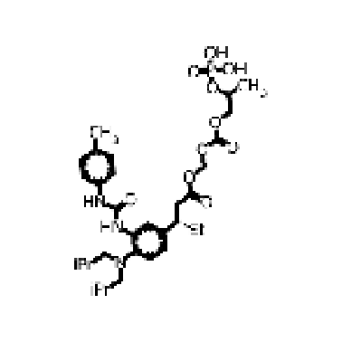 CC[C@@H](CC(=O)OCOC(=O)OCC(C)OP(=O)(O)O)c1ccc(N(CC(C)C)CC(C)C)c(NC(=O)Nc2ccc(C)cc2)c1